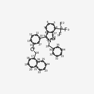 FC(F)(F)c1cccc2c(-c3cccc(OCc4cccc5ccccc45)c3)n(Cc3ccccc3)nc12